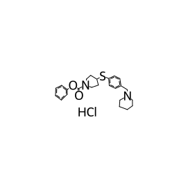 Cl.O=C(Oc1ccccc1)N1CCC(Sc2ccc(CN3CCCCC3)cc2)CC1